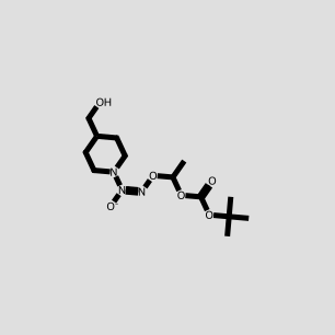 CC(O/N=[N+](/[O-])N1CCC(CO)CC1)OC(=O)OC(C)(C)C